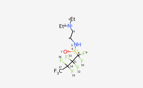 CCN(CC)CCN[S+]([O-])C(F)(F)C(F)(F)C(F)(F)C(F)(F)F